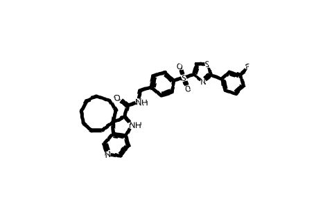 O=C(NCc1ccc(S(=O)(=O)c2csc(-c3cccc(F)c3)n2)cc1)C1Nc2ccncc2C12CCCCCCCC2